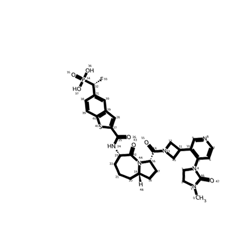 CN1CCN(c2ccncc2C2CN(C(=O)[C@@H]3CC[C@@H]4CCC[C@H](NC(=O)c5cc6cc([C@@H](F)P(=O)(O)O)ccc6s5)C(=O)N43)C2)C1=O